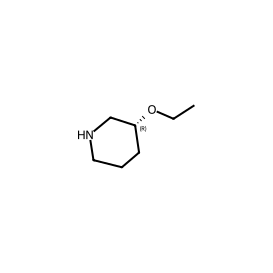 CCO[C@@H]1CCCNC1